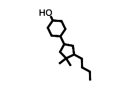 CCCCC1CC(C2CCC(O)CC2)CC1(C)C